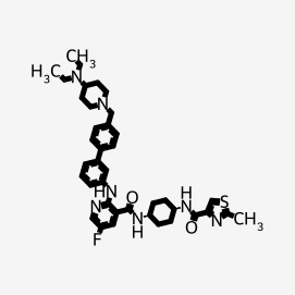 CCN(CC)C1CCN(Cc2ccc(-c3cccc(Nc4ncc(F)cc4C(=O)N[C@H]4CC[C@@H](NC(=O)c5csc(C)n5)CC4)c3)cc2)CC1